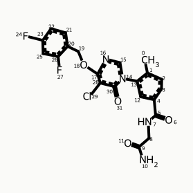 Cc1ccc(C(=O)NCC(N)=O)cc1-n1cnc(OCc2ccc(F)cc2F)c(Cl)c1=O